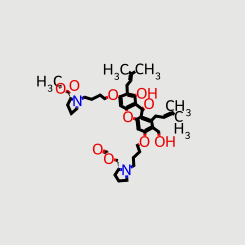 COC(=O)[C@H]1CCCN1CCCCOc1cc2oc3cc(OCCCCN4CCC[C@@H]4COC=O)c(CO)c(CC=C(C)C)c3c(=O)c2c(O)c1CC=C(C)C